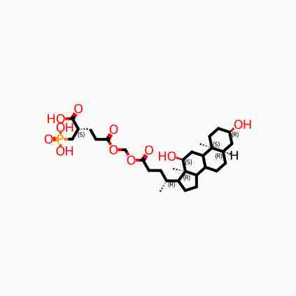 C[C@H](CCC(=O)OCOC(=O)CC[C@H](CP(=O)(O)O)C(=O)O)C1CCC2C3CC[C@@H]4C[C@H](O)CC[C@]4(C)C3C[C@H](O)[C@@]21C